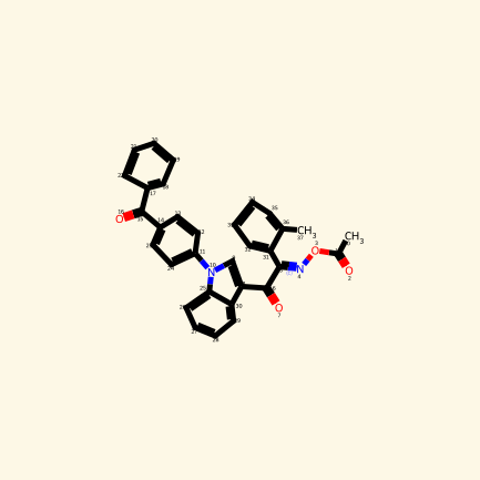 CC(=O)O/N=C(/C(=O)c1cn(-c2ccc(C(=O)c3ccccc3)cc2)c2ccccc12)c1ccccc1C